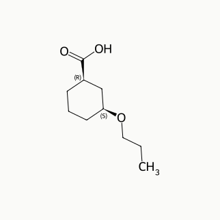 CCCO[C@H]1CCC[C@@H](C(=O)O)C1